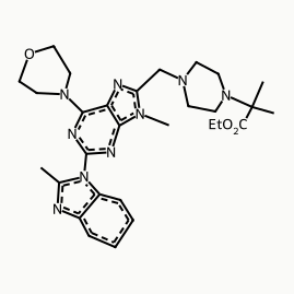 CCOC(=O)C(C)(C)N1CCN(Cc2nc3c(N4CCOCC4)nc(-n4c(C)nc5ccccc54)nc3n2C)CC1